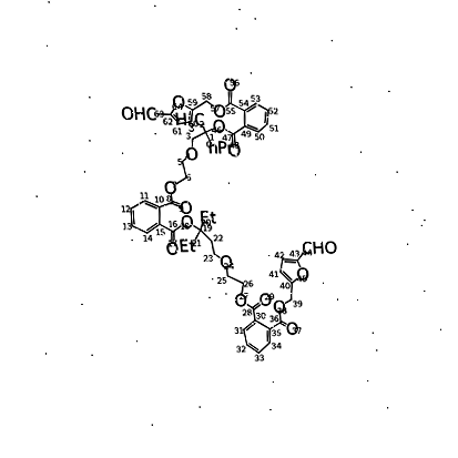 CCCC(C)(COCCOC(=O)c1ccccc1C(=O)OC(CC)(CC)CCOCCOC(=O)c1ccccc1C(=O)OCc1ccc(C=O)o1)OC(=O)c1ccccc1C(=O)OCc1ccc(C=O)o1